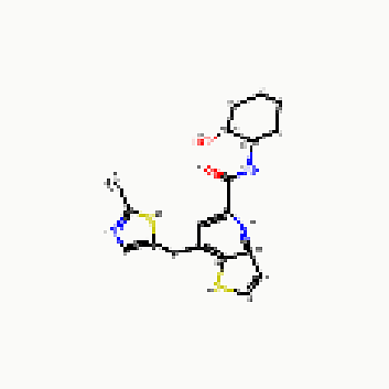 Cc1ncc(Cc2cc(C(=O)N[C@@H]3CCCC[C@H]3O)nc3ccsc23)s1